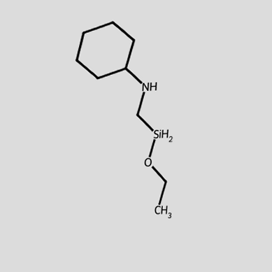 CCO[SiH2]CNC1CCCCC1